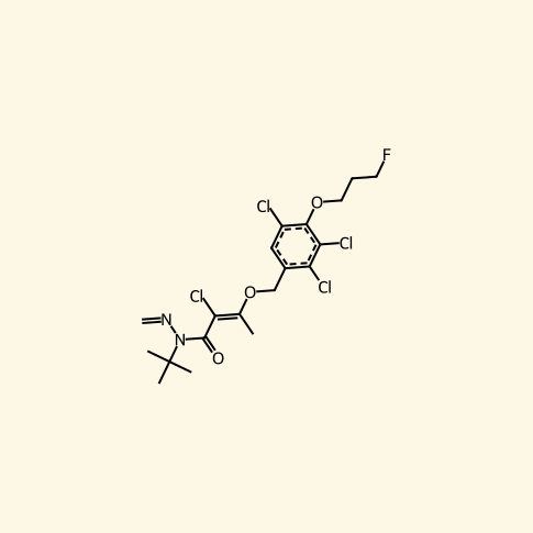 C=NN(C(=O)/C(Cl)=C(\C)OCc1cc(Cl)c(OCCCF)c(Cl)c1Cl)C(C)(C)C